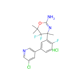 CC1(C)OC(N)=NC(C)(c2cc(-c3cncc(Cl)c3)ccc2F)C1(F)F.Cl